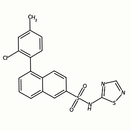 Cc1ccc(-c2cccc3cc(S(=O)(=O)Nc4ncns4)ccc23)c(Cl)c1